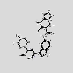 C=N/C(=C\C(=C/C)c1n[nH]c2ccc(NC(=O)C3=C(C)N(C)c4nnnn4[C@@H]3C)cc12)N1CCN(CC)[C@@H](C)C1